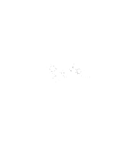 CC1(NCc2ccc(C(F)(F)F)cc2N2CCCC2)CCN(C(=O)n2ccc(C(=O)O)n2)CC1